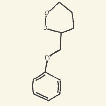 c1ccc(OCC2CCCOO2)cc1